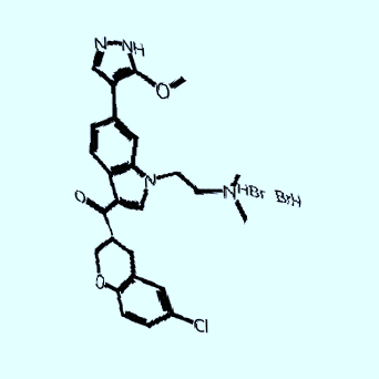 Br.Br.COc1[nH]ncc1-c1ccc2c(C(=O)[C@@H]3COc4ccc(Cl)cc4C3)cn(CCN(C)C)c2c1